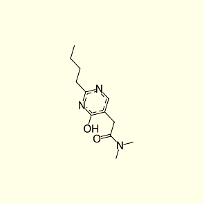 CCCCc1ncc(CC(=O)N(C)C)c(O)n1